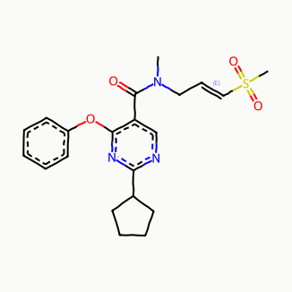 CN(C/C=C/S(C)(=O)=O)C(=O)c1cnc(C2CCCC2)nc1Oc1ccccc1